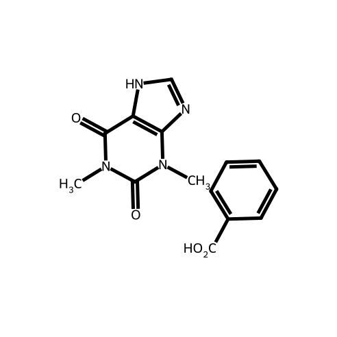 Cn1c(=O)c2[nH]cnc2n(C)c1=O.O=C(O)c1ccccc1